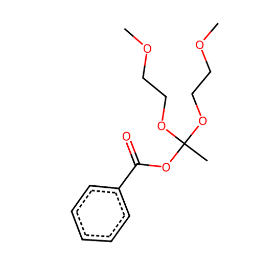 COCCOC(C)(OCCOC)OC(=O)c1ccccc1